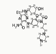 CCc1nc(C(N)=O)c(Nc2ccc3c(c2)OCC(=O)N3CCCN2CCN(C)CC2)nc1N[C@H]1CC[C@H](O)CC1